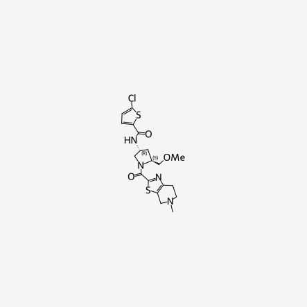 COC[C@@H]1C[C@@H](NC(=O)c2ccc(Cl)s2)CN1C(=O)c1nc2c(s1)CN(C)CC2